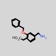 NCc1ccc(CC(=O)O)c(OCc2ccccc2)c1